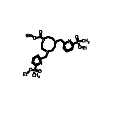 CCOP(C)(=O)c1cccc(CN2CCN(Cc3cccc(P(C)(=O)OCC)n3)CCN(C(=O)OC(C)(C)C)CC2)n1